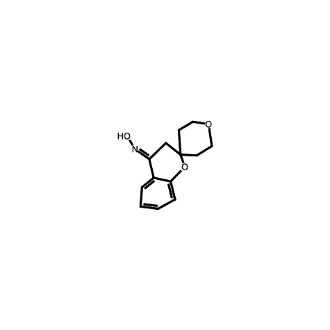 ON=C1CC2(CCOCC2)Oc2ccccc21